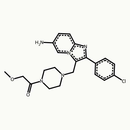 COCC(=O)N1CCN(Cc2c(-c3ccc(Cl)cc3)nc3ccc(N)cn23)CC1